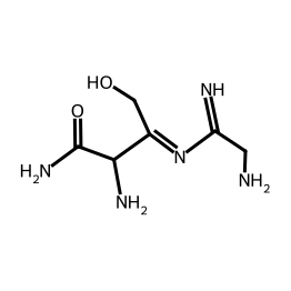 N=C(CN)N=C(CO)C(N)C(N)=O